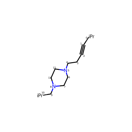 CC(C)C#CCCN1CCN(CC(C)C)CC1